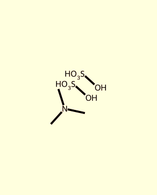 CN(C)C.O=S(=O)(O)O.O=S(=O)(O)O